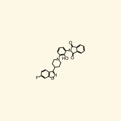 O=C1c2ccccc2C(=O)N1c1cccc(N2CCC(c3noc4cc(F)ccc34)CC2)c1O